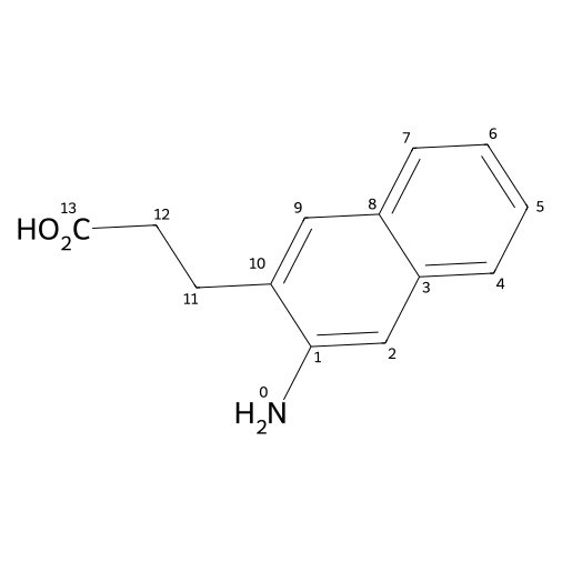 Nc1cc2ccccc2cc1CCC(=O)O